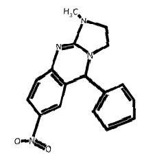 CN1CCN2C1=Nc1ccc([N+](=O)[O-])cc1C2c1ccccc1